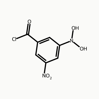 O=C(Cl)c1cc(N(O)O)cc([N+](=O)[O-])c1